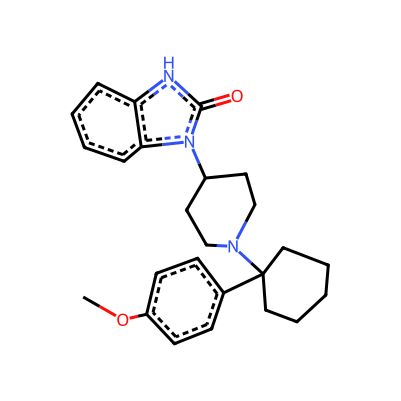 COc1ccc(C2(N3CCC(n4c(=O)[nH]c5ccccc54)CC3)CCCCC2)cc1